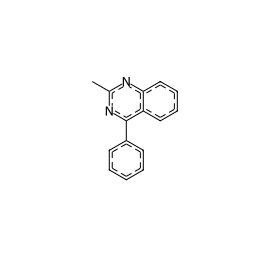 Cc1nc(-c2ccccc2)c2ccccc2n1